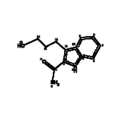 NC(=O)c1[nH]c2ccccc2c1C[CH]CO